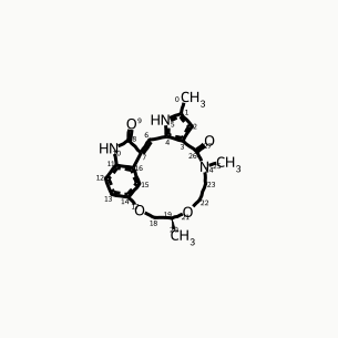 Cc1cc2c([nH]1)/C=C1\C(=O)Nc3ccc(cc31)OC[C@H](C)OCCN(C)C2=O